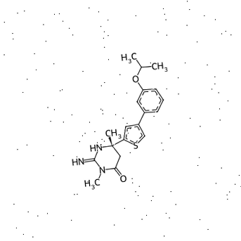 CC(C)Oc1cccc(-c2csc([C@]3(C)CC(=O)N(C)C(=N)N3)c2)c1